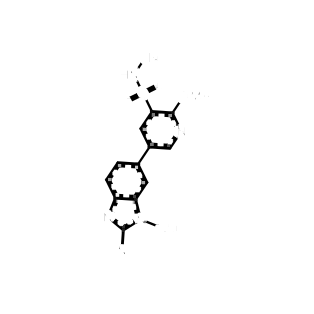 COc1ncc(-c2ccc3nc(N)n(C(C)(C)C)c3c2)cc1S(=O)(=O)NC(C)(C)C